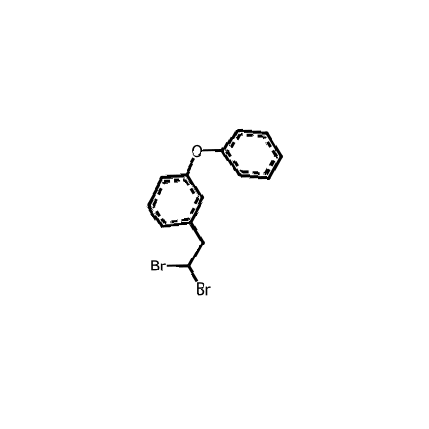 BrC(Br)Cc1cccc(Oc2ccccc2)c1